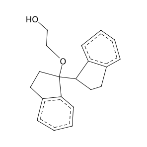 OCCOC1(C2CCc3ccccc32)CCc2ccccc21